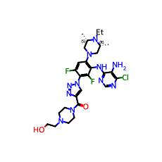 CCN1[C@H](C)CN(c2cc(F)c(-n3cc(C(=O)N4CCN(CCO)CC4)nn3)c(F)c2Nc2ncnc(Cl)c2N)C[C@@H]1C